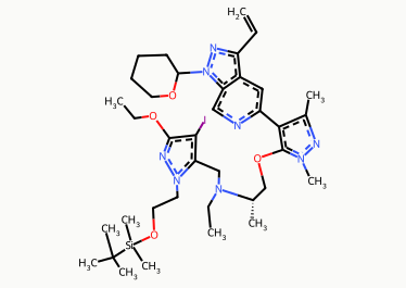 C=Cc1nn(C2CCCCO2)c2cnc(-c3c(C)nn(C)c3OC[C@H](C)N(CC)Cc3c(I)c(OCC)nn3CCO[Si](C)(C)C(C)(C)C)cc12